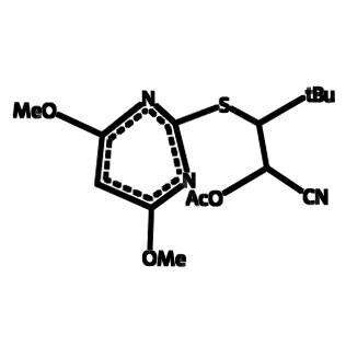 COc1cc(OC)nc(SC(C(C#N)OC(C)=O)C(C)(C)C)n1